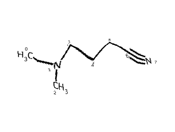 CN(C)[CH]CCC#N